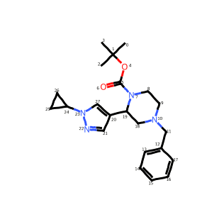 CC(C)(C)OC(=O)N1CCN(Cc2ccccc2)CC1c1cnn(C2CC2)c1